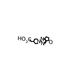 O=C(O)CC1CCN(c2ncc3c(n2)CCC3=O)CC1